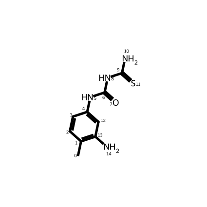 Cc1ccc(NC(=O)NC(N)=S)cc1N